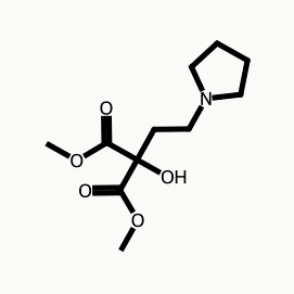 COC(=O)C(O)(CCN1CCCC1)C(=O)OC